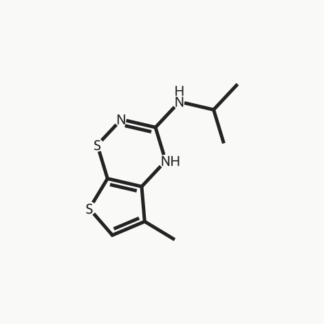 Cc1csc2c1NC(NC(C)C)=NS2